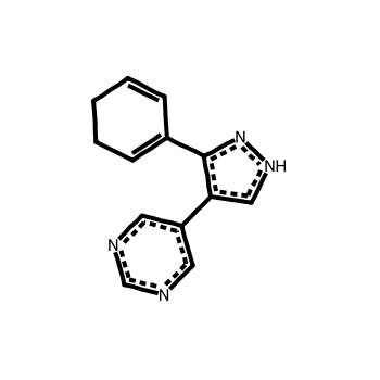 C1=CC(c2n[nH]cc2-c2cncnc2)=CCC1